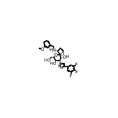 COc1cccc(CN[C@@H]2CCO[C@]23O[C@H](CO)[C@H](O)[C@H](n2cc(-c4cc(F)c(F)c(F)c4)nn2)[C@H]3O)c1